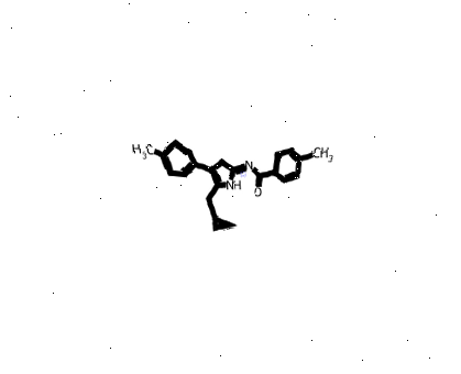 Cc1ccc(C(=O)/N=C2/CC(c3ccc(C)cc3)=C(CC3CC3)N2)cc1